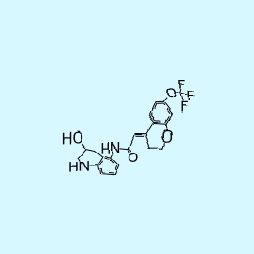 O=C(C=C1CCOc2cc(OC(F)(F)F)ccc21)Nc1cccc2c1CC(O)CN2